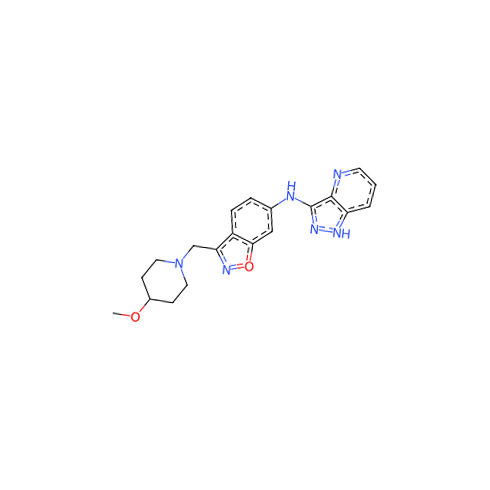 COC1CCN(Cc2noc3cc(Nc4n[nH]c5cccnc45)ccc23)CC1